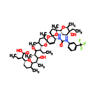 CCC(C(=O)[C@@H](C)[C@@H](O)[C@H](C)[C@@H]1O[C@@H]([C@@H](CC)C(=O)O)CC[C@@H]1C)[C@H]1O[C@]2(C=C[C@@H](NC(=O)Nc3cccc(C(F)(F)F)c3)[C@]3(CC[C@@](C)([C@H]4CC[C@](O)(CC)[C@H](C)O4)O3)O2)[C@H](C)C[C@@H]1C